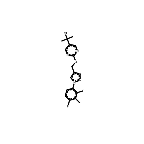 Cc1c(F)ccc(-n2cc(COc3ncc(C(C)(C)O)cn3)nn2)c1F